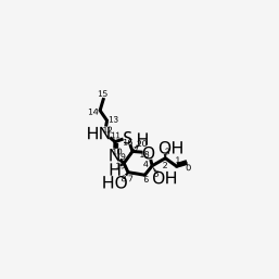 C=C[C@H](O)[C@@]1(O)C[C@@H](O)[C@H]2N=C(NCCC)S[C@H]2O1